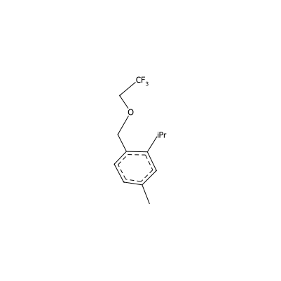 Cc1ccc(COCC(F)(F)F)c(C(C)C)c1